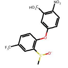 C[S+]([O-])c1cc(C(F)(F)F)ccc1Oc1ccc([N+](=O)[O-])c(C(=O)O)c1